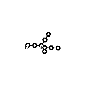 c1ccc(-c2ccc(-c3cc4c(-c5ccc(-c6ccccc6)cc5)cc(-c5ccc(-c6cccnc6)cc5)nc4c4ccccc34)cc2)cc1